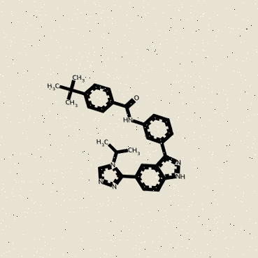 CC(C)n1cnnc1-c1ccc2[nH]nc(-c3cccc(NC(=O)c4ccc(C(C)(C)C)cc4)c3)c2c1